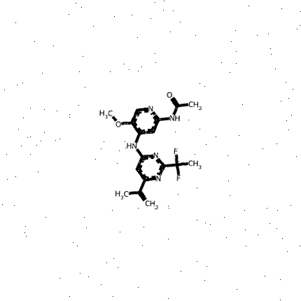 C=C(C)c1cc(Nc2cc(NC(C)=O)ncc2OC)nc(C(C)(F)F)n1